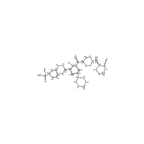 Cc1c(C(=O)N2CCC(N[C@@H]3CCOC[C@@H]3F)CC2)nc(C2CCOCC2)nc1N1CCc2cc(C(F)(F)F)ccc2C1